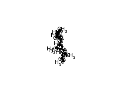 CCC1(C)C=C(C(=O)NC(CCC(=O)OC)C(=O)OC)C=CC(NCc2cnc3nc(NC(C)=O)[nH]c(=O)c3n2)=N1